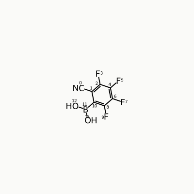 N#Cc1c(F)c(F)c(F)c(F)c1B(O)O